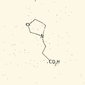 O=C(O)CCN1CCOC1